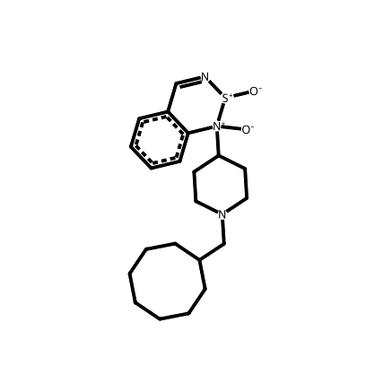 [O-][S+]1N=Cc2ccccc2[N+]1([O-])C1CCN(CC2CCCCCCC2)CC1